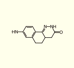 [NH]c1ccc2c(c1)CCC1CC(=O)NN=C21